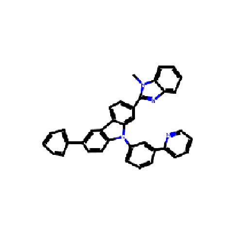 Cn1c(-c2ccc3c4cc(-c5ccccc5)ccc4n(-c4cccc(-c5ccccn5)c4)c3c2)nc2ccccc21